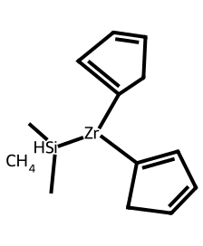 C.C[SiH](C)[Zr]([C]1=CC=CC1)[C]1=CC=CC1